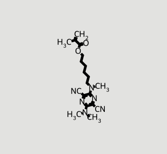 C=C(C)C(=O)OCCCCCCN(C)c1nc(C#N)c(N(C)C)nc1C#N